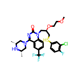 COCCO[C@@H]1Cn2c(=O)nc(N3C[C@@H](C)N[C@@H](C)C3)c3cc(C(F)(F)F)cc(c32)[SH](c2ccc(F)c(Cl)c2)C1